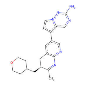 CC1=Nc2ncc(-c3ccn4nc(N)ncc34)cc2C[C@@H]1CC1CCOCC1